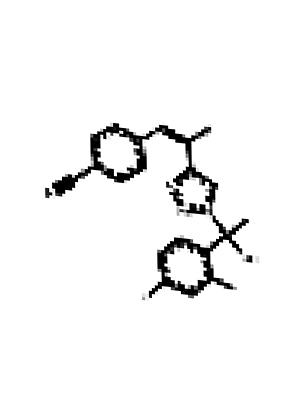 CC(=Cc1ccc(C#N)cc1)c1cn(C(C)(O)c2ccc(F)cc2F)nn1